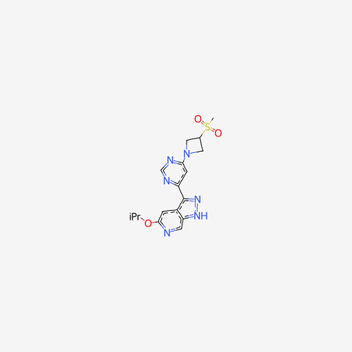 CC(C)Oc1cc2c(-c3cc(N4CC(S(C)(=O)=O)C4)ncn3)n[nH]c2cn1